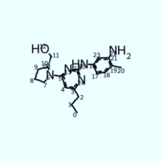 CCCc1cc(N2CCC[C@H]2CO)nc(Nc2ccc(C)c(N)c2)n1